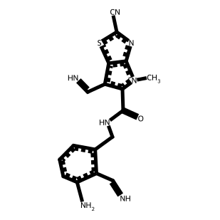 Cn1c(C(=O)NCc2cccc(N)c2C=N)c(C=N)c2sc(C#N)nc21